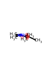 CCCCCCCCCCOc1c(OC)cc(/C=C/C(=O)NN2CCN(c3cc(C)cc(C)c3)CC2)cc1OC